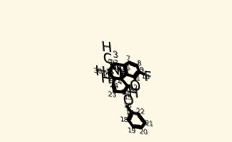 CN1CCC23c4c5ccc(F)c4O[C@H]2[C@@H](OCc2ccccc2)C=C[C@H]3[C@H]1C5